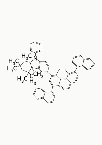 CC1(C)CC(C)(C)C2(C)c3cc(-c4cc(-c5cccc6ccccc56)c5ccc6ccc(-c7cccc8ccccc78)c7ccc4c5c67)ccc3N(c3ccccc3)C2(C)C1